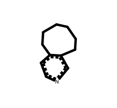 c1cc2c(cn1)CCCCCC2